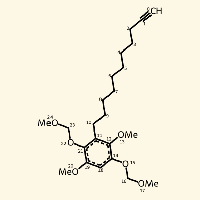 C#CCCCCCCCCCc1c(OC)c(OCOC)cc(OC)c1OCOC